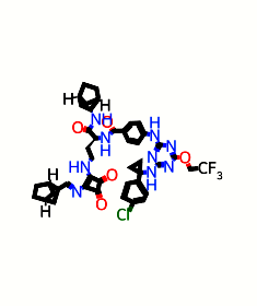 O=C(N[C@@H](CCNc1c(/N=C/C2C[C@H]3CC[C@@H]2C3)c(=O)c1=O)C(=O)N[C@@H]1C[C@H]2CC[C@@H]1C2)c1ccc(Nc2nc(NC3(c4ccc(Cl)cc4)CC3)nc(OCC(F)(F)F)n2)cc1